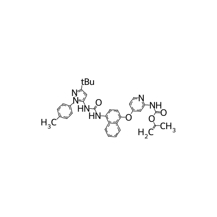 C=C(C)OC(=O)Nc1cc(Oc2ccc(NC(=O)Nc3cc(C(C)(C)C)nn3-c3ccc(C)cc3)c3ccccc23)ccn1